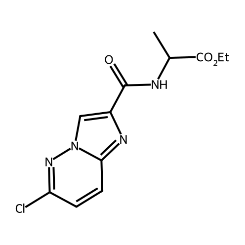 CCOC(=O)C(C)NC(=O)c1cn2nc(Cl)ccc2n1